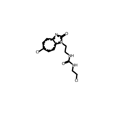 O=C(NCCCl)NCCn1c2ccc(Cl)ccc-2nc1=O